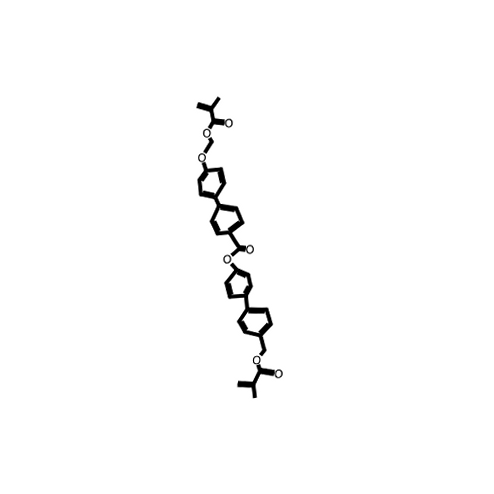 C=C(C)C(=O)OCOc1ccc(-c2ccc(C(=O)Oc3ccc(-c4ccc(COC(=O)C(=C)C)cc4)cc3)cc2)cc1